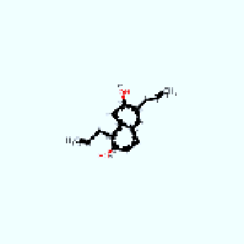 C=CCc1cc2ccc(O)c(CC=C)c2cc1O